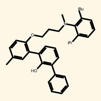 CCC(C)c1cccc(C(C)C)c1N(C)CCCOc1ccc(C)cc1-c1cccc(-c2ccccc2)c1O